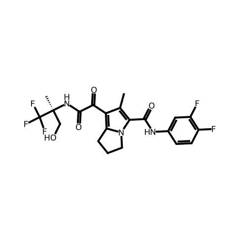 Cc1c(C(=O)C(=O)N[C@@](C)(CO)C(F)(F)F)c2n(c1C(=O)Nc1ccc(F)c(F)c1)CCC2